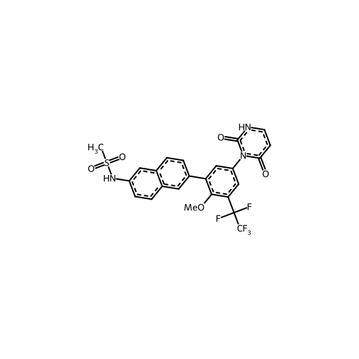 COc1c(-c2ccc3cc(NS(C)(=O)=O)ccc3c2)cc(-n2c(=O)cc[nH]c2=O)cc1C(F)(F)C(F)(F)F